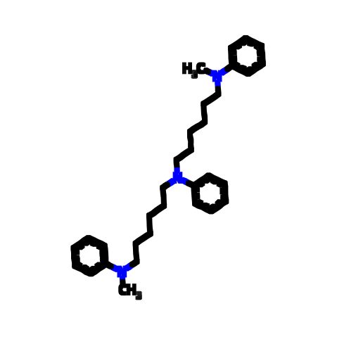 CN(CCCCCCN(CCCCCCN(C)c1ccccc1)c1ccccc1)c1ccccc1